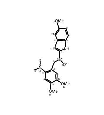 COc1ccc2[nH]c([S+]([O-])Cc3cc(OC)c(OC)cc3N(C)C)nc2c1